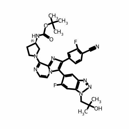 CC(C)(O)Cn1nnc2cc(-c3c(-c4ccc(C#N)c(F)c4)nc4c(N5CC[C@@H](NC(=O)OC(C)(C)C)C5)nccn34)c(F)cc21